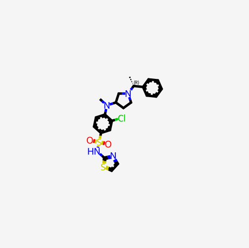 C[C@H](c1ccccc1)N1CCC(N(C)c2ccc(S(=O)(=O)Nc3nccs3)cc2Cl)C1